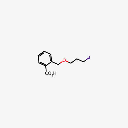 O=C(O)c1ccccc1COCCCI